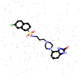 O=c1[nH]c2cccc(N3CCN(CCCNS(=O)(=O)c4ccc5ccc(Cl)cc5c4)CC3)c2[nH]1